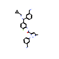 Cc1cc(C(=O)Nc2cc(C(NCC3CC3)c3cccc(CN)c3)ccc2F)n(-c2cccc(CN)c2)n1